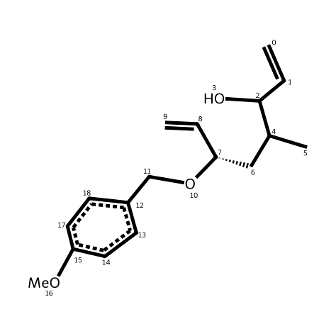 C=CC(O)C(C)C[C@@H](C=C)OCc1ccc(OC)cc1